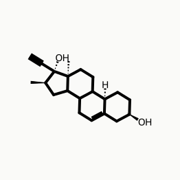 C#C[C@]1(O)[C@H](C)CC2C3CC=C4C[C@H](O)CC[C@@H]4C3CC[C@@]21C